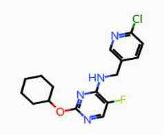 Fc1cnc(OC2CCCCC2)nc1NCc1ccc(Cl)nc1